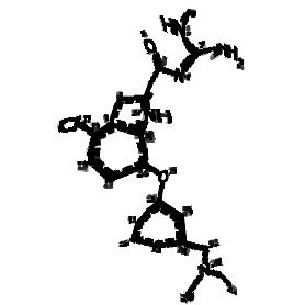 CNC(N)=NC(=O)c1cc2c(Cl)ccc(Oc3cccc(CN(C)C)c3)c2[nH]1